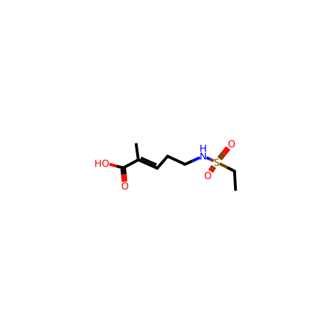 CCS(=O)(=O)NCC/C=C(\C)C(=O)O